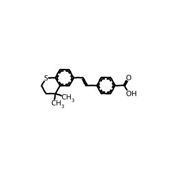 CC1(C)CCSc2ccc(C=Cc3ccc(C(=O)O)cc3)cc21